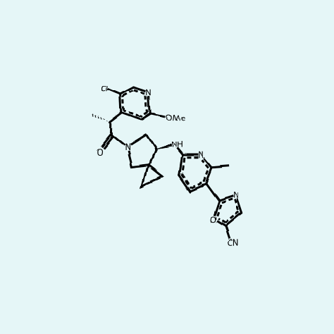 COc1cc([C@@H](C)C(=O)N2C[C@@H](Nc3ccc(-c4ncc(C#N)o4)c(C)n3)C3(CC3)C2)c(Cl)cn1